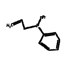 C=CCP(CCC)c1ccccc1